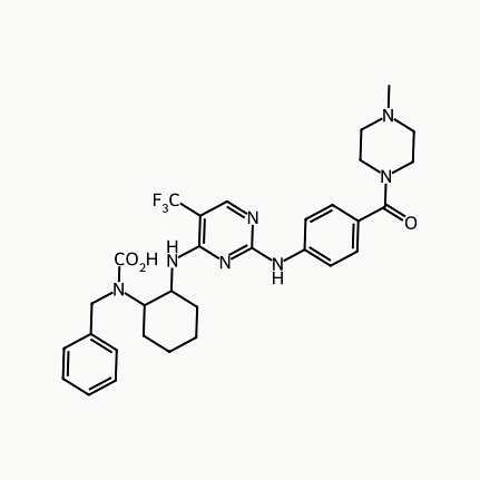 CN1CCN(C(=O)c2ccc(Nc3ncc(C(F)(F)F)c(NC4CCCCC4N(Cc4ccccc4)C(=O)O)n3)cc2)CC1